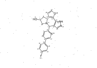 OC1CCN(C(c2ccc(-c3ccc(F)cc3)cn2)c2cn[nH]c2-c2ccco2)C1